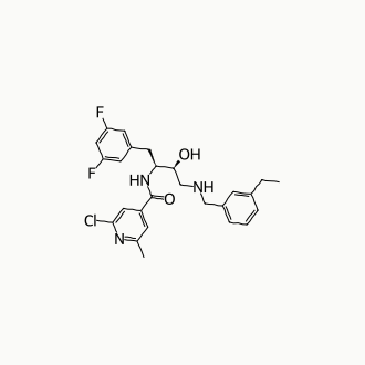 CCc1cccc(CNC[C@H](O)[C@H](Cc2cc(F)cc(F)c2)NC(=O)c2cc(C)nc(Cl)c2)c1